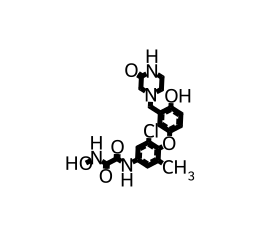 Cc1cc(NC(=O)C(=O)NO)cc(Cl)c1Oc1ccc(O)c(CN2CCNC(=O)C2)c1